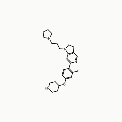 Fc1cc(OC2CCNCC2)ccc1-c1ncc2c(n1)N(CCCN1CCCC1)CC2